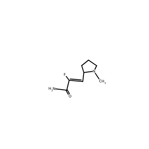 CN1CCCC1C=C(F)C(N)=O